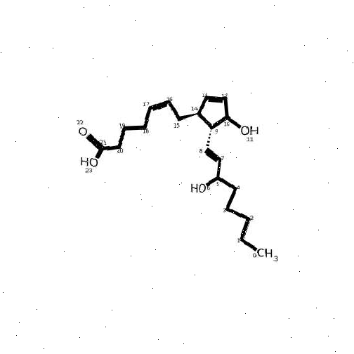 CCCCCC(O)/C=C/[C@H]1C(O)C=C[C@@H]1C/C=C\CCCC(=O)O